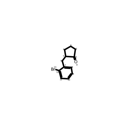 O=C1CCCC1Cc1ccccc1Br